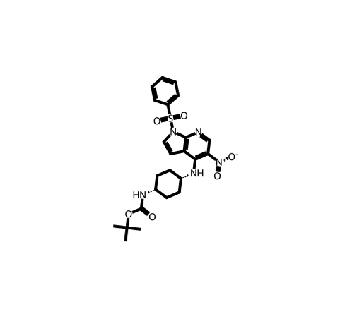 CC(C)(C)OC(=O)N[C@H]1CC[C@@H](Nc2c([N+](=O)[O-])cnc3c2ccn3S(=O)(=O)c2ccccc2)CC1